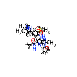 Cc1c(-c2ccc(Nc3cc(NC(=O)C4CC4)nc4c3nc(C)n4C3CCCCO3)c(S(C)(=O)=O)c2)nn(C)c1C